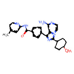 Cc1ccnc(NC(=O)c2ccc(-c3nc(C4CCC(O)CC4)n4ccnc(N)c34)cc2)c1